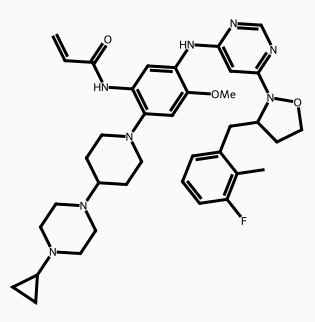 C=CC(=O)Nc1cc(Nc2cc(N3OCCC3Cc3cccc(F)c3C)ncn2)c(OC)cc1N1CCC(N2CCN(C3CC3)CC2)CC1